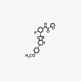 COc1ccc(-c2cnc3nc(-c4cc(NC(=O)c5ccco5)ccc4F)oc3c2)cc1